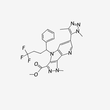 COC(=O)c1nn(C)c2c3ncc(-c4c(C)nnn4C)cc3n(C(CCC(F)(F)F)c3ccccc3)c12